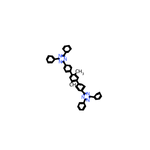 Cc1cc(-c2ccc(-c3nc(-c4ccccc4)nc(-c4ccccc4)n3)cc2)c(C)cc1-c1ccc(-c2nc(-c3ccccc3)nc(-c3ccccc3)n2)cc1